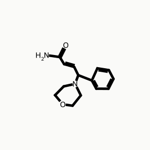 NC(=O)C=CC(c1ccccc1)N1CCOCC1